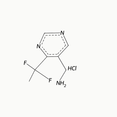 CC(F)(F)c1ncncc1CN.Cl